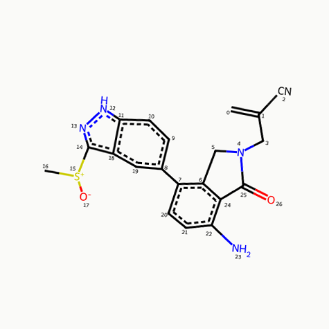 C=C(C#N)CN1Cc2c(-c3ccc4[nH]nc([S+](C)[O-])c4c3)ccc(N)c2C1=O